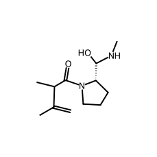 C=C(C)C(C)C(=O)N1CCC[C@H]1C(O)NC